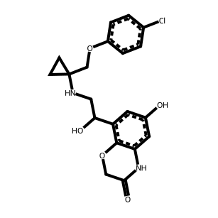 O=C1COc2c(cc(O)cc2C(O)CNC2(COc3ccc(Cl)cc3)CC2)N1